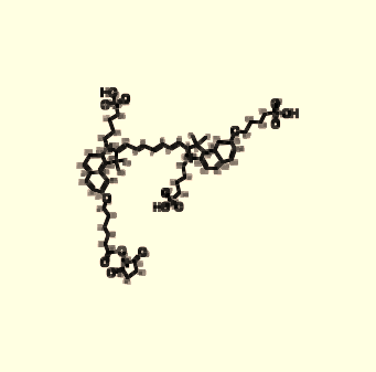 CC1(C)C(/C=C/C=C/C=C/C=C2/N(CCCCS(=O)(=O)O)c3ccc4ccc(OCCCCCC(=O)ON5C(=O)CCC5=O)cc4c3C2(C)C)=[N+](CCCCS(=O)(=O)O)c2ccc3ccc(OCCCCS(=O)(=O)O)cc3c21